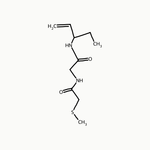 C=CC(CC)NC(=O)CNC(=O)CSC